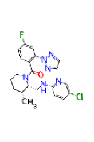 C[C@@H]1CCCN(C(=O)c2ccc(F)cc2-n2nccn2)[C@@H]1CNc1ccc(Cl)cn1